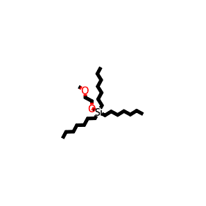 CCCCCCC[Si](CCCCCCC)(CCCCCCC)OCCOC